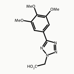 COc1cc(-c2nnn(CC(=O)O)n2)cc(OC)c1OC